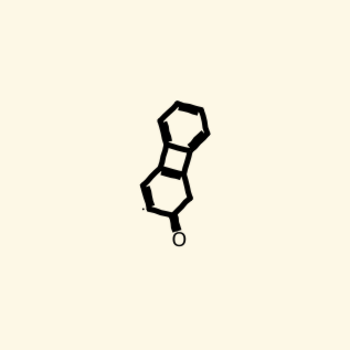 O=C1[C]=CC2=C(C1)c1ccccc12